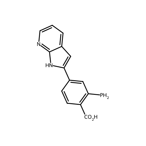 O=C(O)c1ccc(-c2cc3cccnc3[nH]2)cc1P